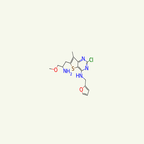 COCC(N)Cc1sc2c(NCc3ccco3)nc(Cl)nc2c1C